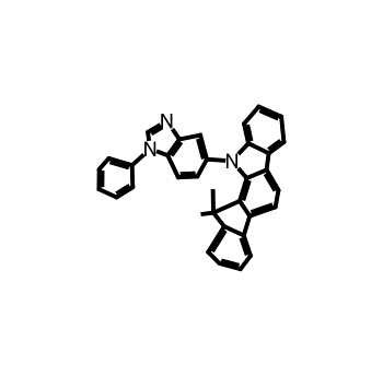 CC1(C)c2ccccc2-c2ccc3c4ccccc4n(-c4ccc5c(c4)ncn5-c4ccccc4)c3c21